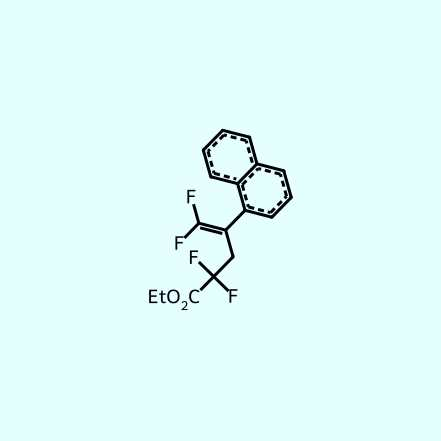 CCOC(=O)C(F)(F)CC(=C(F)F)c1cccc2ccccc12